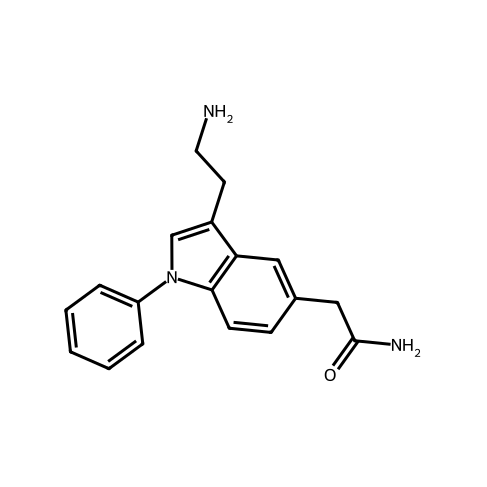 NCCc1cn(-c2ccccc2)c2ccc(CC(N)=O)cc12